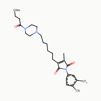 COCCC(=O)N1CCN(CCCCCCC2=C(C)C(=O)N(c3ccc(C#N)c(C(F)(F)F)c3)C2=O)CC1